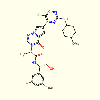 COc1cc(F)cc([C@@H](CO)NC(=O)C(C)n2cnn3cc(-c4nc(NC5CCC(OC)CC5)ncc4Cl)cc3c2=O)c1